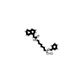 O=CN(CCCCCCNC(=O)Cc1cccc2ccccc12)OCc1ccccc1